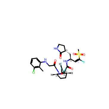 Cc1c(Cl)cccc1NCC(=O)N1[C@H]2CC[C@@H]([C@H]1C(=O)N[C@H](/C=C(/F)S(C)(=O)=O)C[C@H]1CCNC1=O)C(F)(F)C2